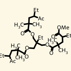 CCC(CC(C)(C)C(=O)OCC(CC)(COC(=O)C(C)(C)CC(CC)C(C)=O)COC(=O)C(C)(C)CC(CC)C(=O)OC)C(C)=O